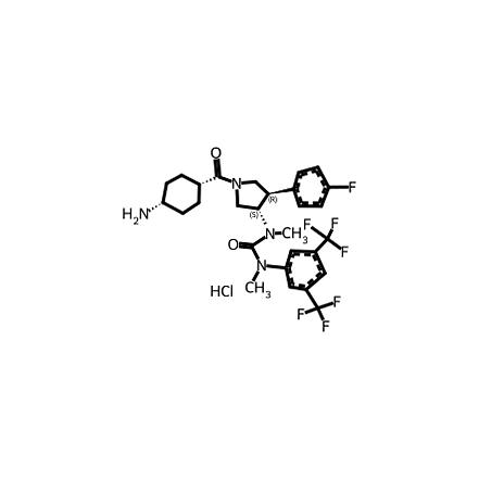 CN(C(=O)N(C)[C@@H]1CN(C(=O)[C@H]2CC[C@@H](N)CC2)C[C@H]1c1ccc(F)cc1)c1cc(C(F)(F)F)cc(C(F)(F)F)c1.Cl